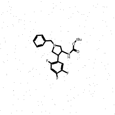 CC(C)(C)OC(=O)NC1CN(Cc2ccccc2)CC1c1cc(F)c(F)cc1F